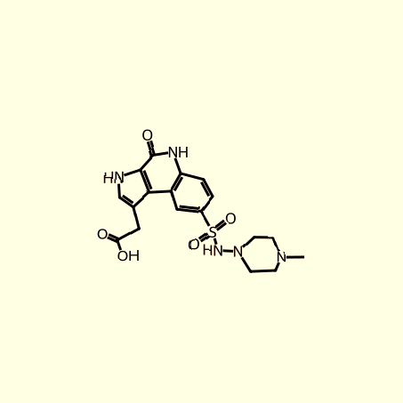 CN1CCN(NS(=O)(=O)c2ccc3[nH]c(=O)c4[nH]cc(CC(=O)O)c4c3c2)CC1